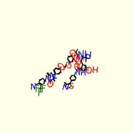 C=C1N(c2ccc(C#N)c(C(F)(F)F)c2)C(=O)C(C)(C)N1c1ccc(OCCOc2ccc(OC(C)C(=O)N[C@H](C(=O)C3C[C@H](O)C[C@H]3C(=O)NCc3ccc(-c4scnc4C)cc3)C(C)(C)C)cc2)cc1